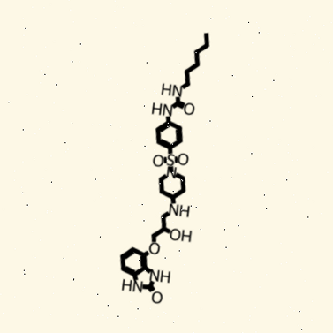 CCCCCCNC(=O)Nc1ccc(S(=O)(=O)N2CCC(NCC(O)COc3cccc4[nH]c(=O)[nH]c34)CC2)cc1